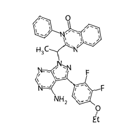 CCOc1ccc(-c2nn(C(C)c3nc4ccccc4c(=O)n3-c3ccccc3)c3ncnc(N)c23)c(F)c1F